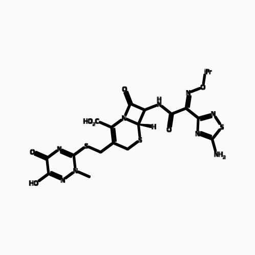 CC(C)ON=C(C(=O)NC1C(=O)N2C(C(=O)O)=C(CSc3nc(=O)c(O)nn3C)CS[C@@H]12)c1nsc(N)n1